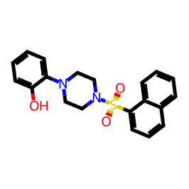 O=S(=O)(c1cccc2ccccc12)N1CCN(c2ccccc2O)CC1